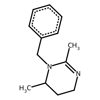 CC1=NCCC(C)N1Cc1ccccc1